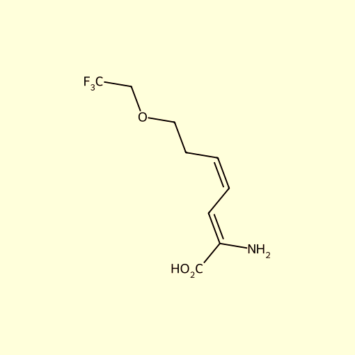 N/C(=C\C=C/CCOCC(F)(F)F)C(=O)O